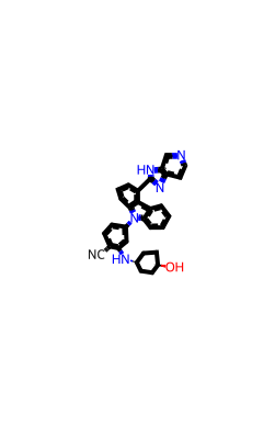 N#Cc1ccc(-n2c3ccccc3c3c(-c4nc5ccncc5[nH]4)cccc32)cc1N[C@H]1CC[C@H](O)CC1